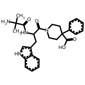 CC(C)(N)C(=O)NC(Cc1c[nH]c2ccccc12)C(=O)N1CCC(C(=O)O)(c2ccccc2)CC1